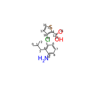 CC(C)Cc1ccccc1N.O=C(O)c1sccc1Cl